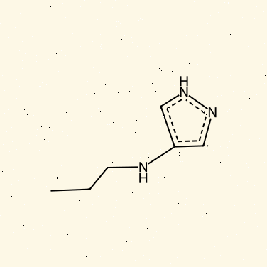 CCCNc1[c]n[nH]c1